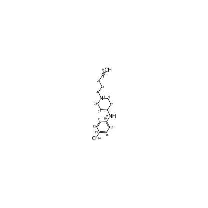 C#CCCCN1CCC(Nc2ccc(Cl)cc2)CC1